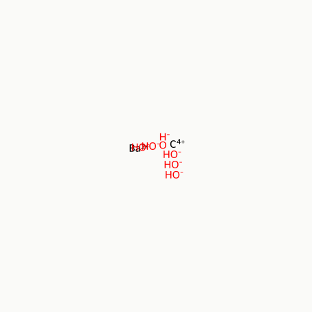 [Ba+2].[C+4].[OH-].[OH-].[OH-].[OH-].[OH-].[OH-]